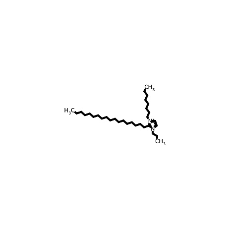 CCCCCCCCCCCCCCCCCCc1n(CCC)cc[n+]1CCCCCCCC